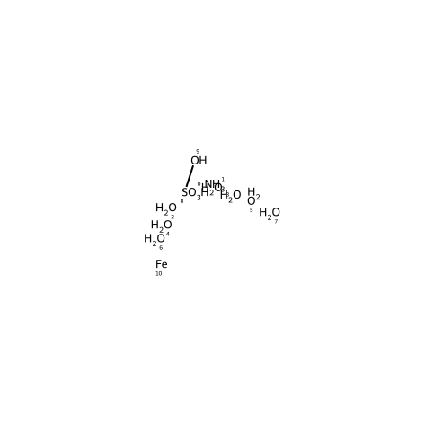 N.O.O.O.O.O.O.O.O=S(=O)(O)O.[Fe]